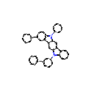 c1ccc(-c2cccc(-n3c4ccccc4c4cc5c(cc43)c3cc(-c4ccccc4)ccc3n5-c3ccccc3)c2)cc1